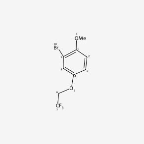 COc1ccc(OCC(F)(F)F)cc1Br